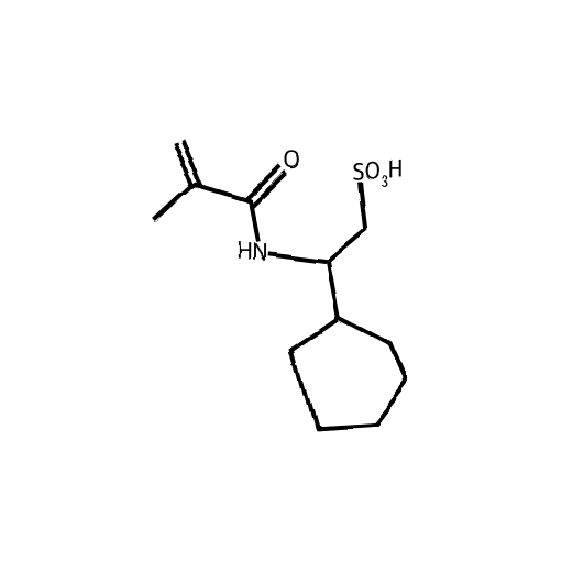 C=C(C)C(=O)NC(CS(=O)(=O)O)C1CCCCC1